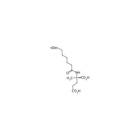 CCCCCCCCCCCCCCCC(=O)N[C@@](C)(CCC(=O)O)C(=O)O